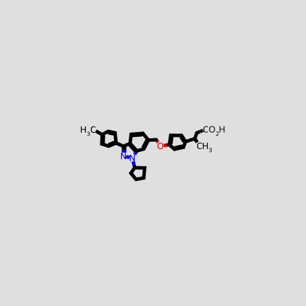 Cc1ccc(-c2nn(C3CCCC3)c3cc(COc4ccc(C(C)CC(=O)O)cc4)ccc23)cc1